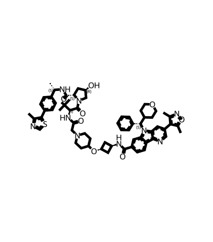 Cc1ncsc1-c1ccc([C@H](C)NC(=O)[C@@H]2C[C@@H](O)CN2C(=O)[C@@H](NC(=O)CN2CCC(O[C@H]3C[C@H](NC(=O)c4ccc5c6ncc(-c7c(C)noc7C)cc6n([C@H](c6ccccc6)C6CCOCC6)c5c4)C3)CC2)C(C)(C)C)cc1